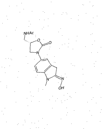 CC(=O)NC[C@H]1CN(c2ccc3c(c2)CC(=NO)N3C)C(=O)O1